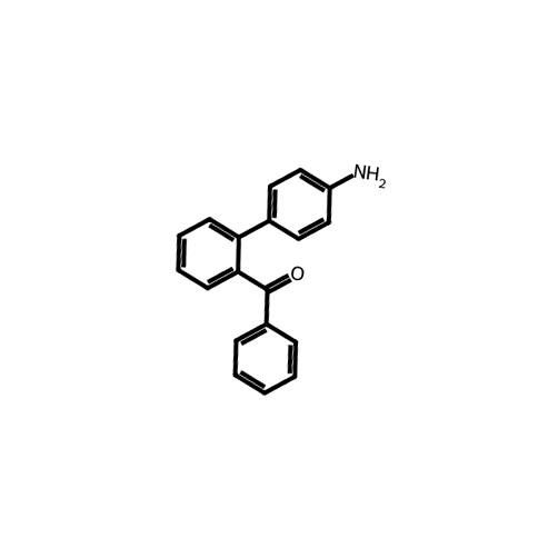 Nc1ccc(-c2ccccc2C(=O)c2ccccc2)cc1